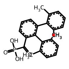 Cc1cccc(C)c1-c1cccc(C(=O)P(=O)(O)O)c1-c1c(C)cccc1C